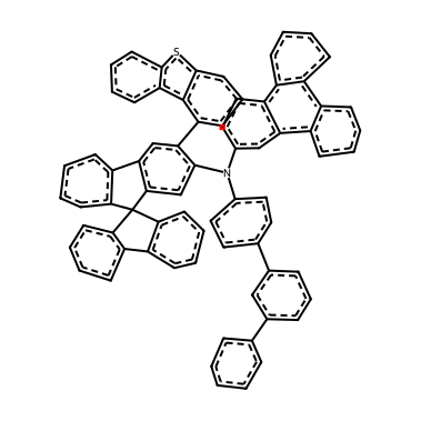 c1ccc(-c2cccc(-c3ccc(N(c4ccc5c6ccccc6c6ccccc6c5c4)c4cc5c(cc4-c4cccc6sc7ccccc7c46)-c4ccccc4C54c5ccccc5-c5ccccc54)cc3)c2)cc1